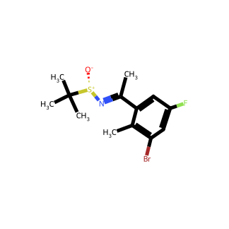 CC(=N[S@@+]([O-])C(C)(C)C)c1cc(F)cc(Br)c1C